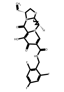 C=C[C@@H]1CO[C@@]23CCC[C@@H]2n2cc(C(=O)NCc4c(F)cc(F)cc4F)c(=O)c(O)c2C(=O)N13